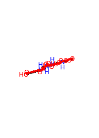 O=CCOCCOCCNC(=O)COCCOCCNC(=O)CC[C@H](NC(=O)[C@H]1CC[C@H](CNC(=O)CCCCCCCCCCC(=O)O)CC1)C(=O)O